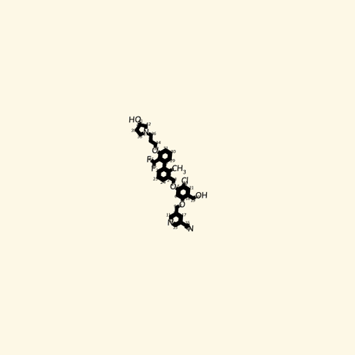 Cc1c(COc2cc(OCc3cncc(C#N)c3)c(CO)cc2Cl)cccc1-c1cccc(OCCCN2CCC(O)C2)c1C(F)F